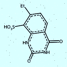 CCc1ccc2c(=O)[nH]c(=O)[nH]c2c1S(=O)(=O)O